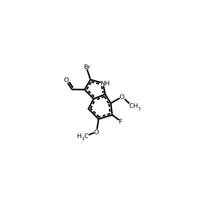 COc1cc2c(C=O)c(Br)[nH]c2c(OC)c1F